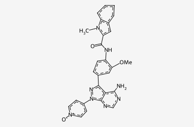 COc1cc(-c2nn(-c3cc[n+]([O-])cc3)c3ncnc(N)c23)ccc1NC(=O)c1cc2ccccc2n1C